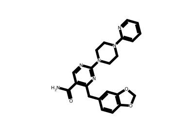 NC(=O)c1cnc(N2CCN(c3ccccn3)CC2)nc1[CH]c1ccc2c(c1)OCO2